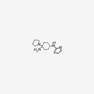 N[C@]1(N2CCCC2)[CH]C[C@H](Nc2nccs2)CC1